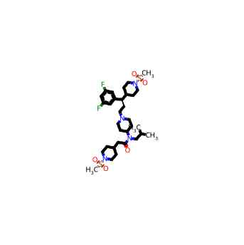 CC(C)CN(C(=O)CC1CCN(S(C)(=O)=O)CC1)C1CCN(CC[C@@H](c2cc(F)cc(F)c2)C2CCN(S(C)(=O)=O)CC2)CC1